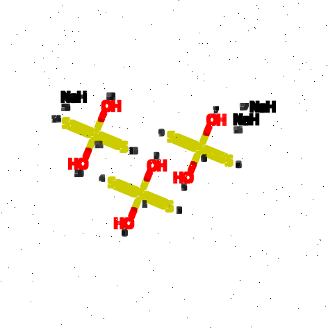 OS(O)(=S)=S.OS(O)(=S)=S.OS(O)(=S)=S.[NaH].[NaH].[NaH]